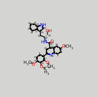 COc1ccc2nc(-c3ccc(OC)c(OC)c3OC)cc(C(=O)N[C@@H](CO)Cc3c[nH]c4ccccc34)c2c1